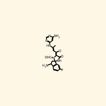 C/C(=C\C(Cl)=C1\C(=O)NC2(CC(N)c3ccc(F)cc32)N1C=O)Nc1cc(N)ncn1